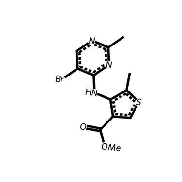 COC(=O)c1csc(C)c1Nc1nc(C)ncc1Br